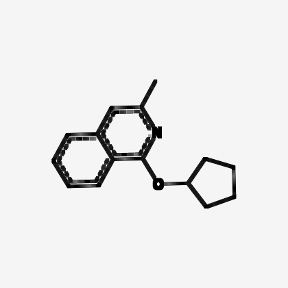 Cc1cc2ccccc2c(OC2CCCC2)n1